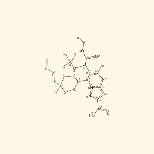 C=CC=CC1(C)CCN(c2c(C(OC(C)(C)C)C(=O)OCC)c(C)nc3cc(C(=O)O)nn23)CC1